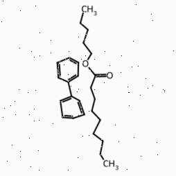 CCCCCCCCC(=O)OCCCCC.c1ccc(-c2ccccc2)cc1